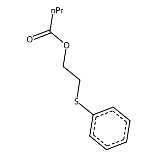 [CH2]CCC(=O)OCCSc1ccccc1